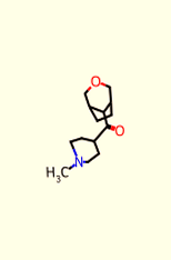 CN1CCC(C(=O)C2C3CCC2COC3)CC1